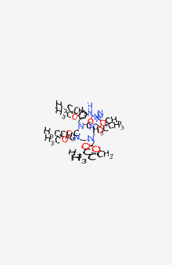 CC(C)(C)OC(=O)CN1CCN(CC(=O)OC(C)(C)C)CCN(Cc2cc(NC(=O)n3cncn3)ccc2OC(C)(C)C)CCN(CC(=O)OC(C)(C)C)CC1